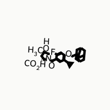 CC1(O)C[C@@H](C(=O)O)N(C(=O)c2cc(C3CC3)c(OCC34CC5CC(CC(C5)C3)C4)cc2F)C1